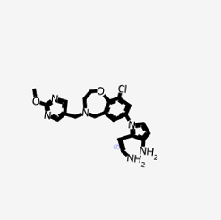 COc1ncc(CN2CCOc3c(Cl)cc(-n4ccc(N)c4/C=C\N)cc3C2)cn1